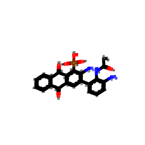 CC(=O)Nc1c(N)cccc1-c1cc2c(c(S(=O)(=O)O)c1N)C(=O)c1ccccc1C2=O